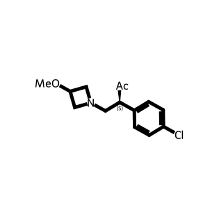 COC1CN(C[C@@H](C(C)=O)c2ccc(Cl)cc2)C1